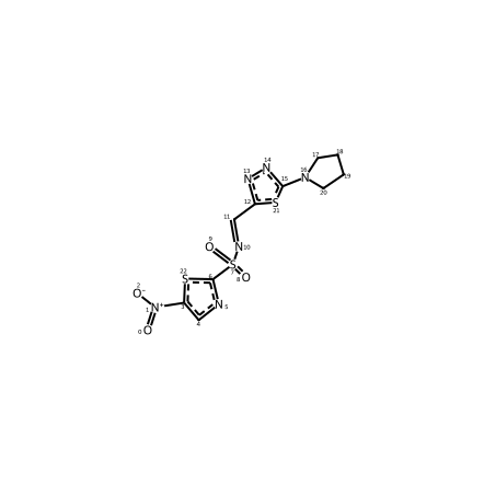 O=[N+]([O-])c1cnc(S(=O)(=O)N=Cc2nnc(N3CCCC3)s2)s1